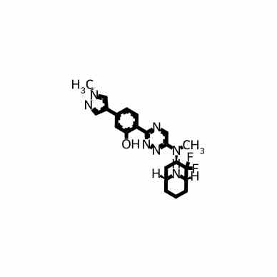 CN(c1cnc(-c2ccc(-c3cnn(C)c3)cc2O)nn1)[C@@H]1C[C@H]2CCC[C@H](N2)C1(F)F